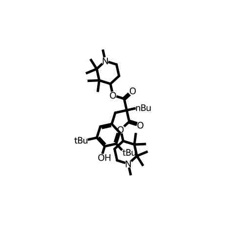 CCCCC(Cc1cc(C(C)(C)C)c(O)c(C(C)(C)C)c1)(C(=O)OC1CCN(C)C(C)(C)C1(C)C)C(=O)OC1CCN(C)C(C)(C)C1(C)C